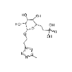 Cc1cn(CCOC2OC(CCP(=O)(O)O)C(O)C(O)C2O)nn1